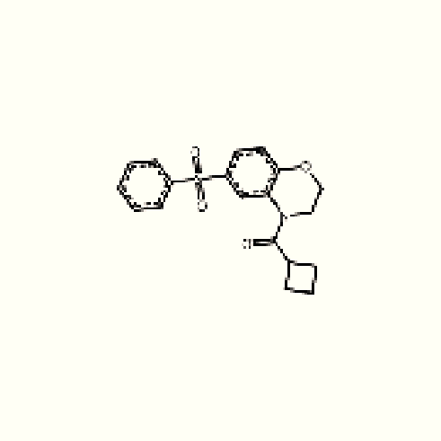 O=C(C1CCC1)N1CCOc2ccc(S(=O)(=O)c3ccccc3)cc21